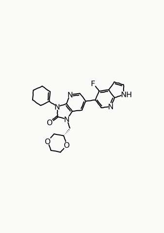 O=c1n(C[C@H]2COCCO2)c2cc(-c3cnc4[nH]ccc4c3F)cnc2n1C1=CCCCC1